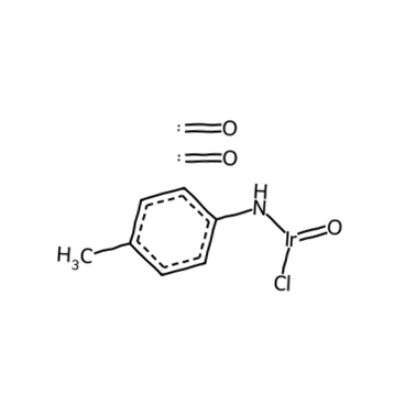 Cc1ccc([NH][Ir](=[O])[Cl])cc1.[C]=O.[C]=O